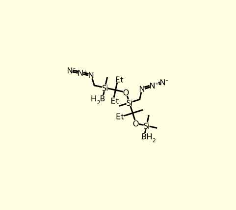 B[Si](C)(C)OC(C)(CC)[Si](C)(CN=[N+]=[N-])OC(CC)(CC)[Si](B)(C)CN=[N+]=[N-]